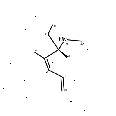 C=C/C=C(/C)[C@](C)(CC)NC